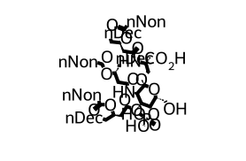 CCCCCCCCCCC[C@H](CC(=O)N[C@H]1[C@H](OC[C@H](NC(=O)C[C@@H](CCCCCCCCCCC)OC(=O)CCCCCCCCC)C(=O)O)O[C@H](CO)[C@@H](OP(=O)(O)O)[C@@H]1OC(=O)C[C@@H](CCCCCCCCCCC)OC(=O)CCCCCCCCC)OC(=O)CCCCCCCCC